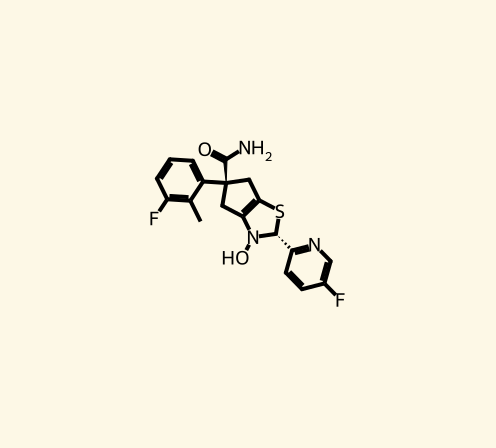 Cc1c(F)cccc1[C@]1(C(N)=O)CC2=C(C1)N(O)[C@@H](c1ccc(F)cn1)S2